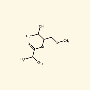 CSCC(NC(=O)C(C)C)C(C)O